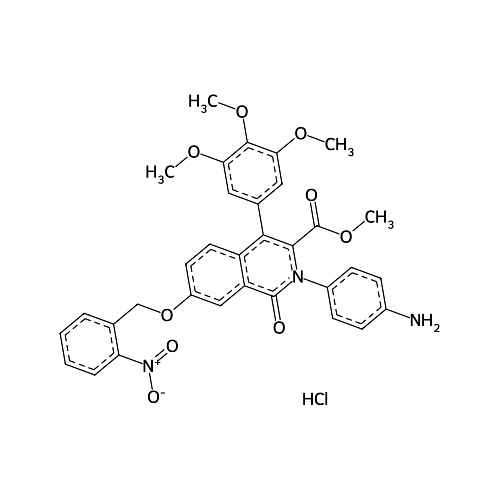 COC(=O)c1c(-c2cc(OC)c(OC)c(OC)c2)c2ccc(OCc3ccccc3[N+](=O)[O-])cc2c(=O)n1-c1ccc(N)cc1.Cl